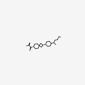 C=C(C)C(=O)[C@H]1CCC2(CC1)C[C@H](N1CCC(N(C)CCC(C)C)CC1)C2